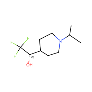 CC(C)N1CCC([C@H](O)C(F)(F)F)CC1